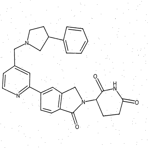 O=C1CCC(N2Cc3cc(-c4cc(CN5CCC(c6ccccc6)C5)ccn4)ccc3C2=O)C(=O)N1